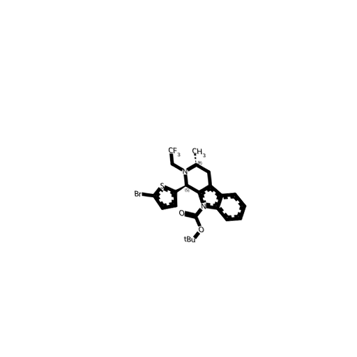 C[C@@H]1Cc2c(n(C(=O)OC(C)(C)C)c3ccccc23)[C@@H](c2ccc(Br)s2)N1CC(F)(F)F